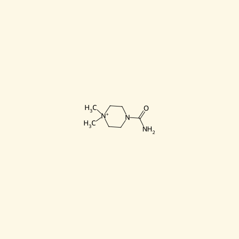 C[N+]1(C)CCN(C(N)=O)CC1